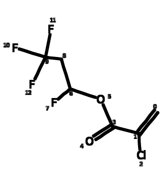 C=C(Cl)C(=O)OC(F)CC(F)(F)F